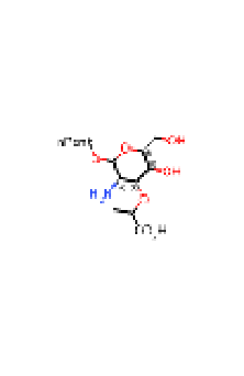 CCCCCOC1O[C@H](CO)[C@@H](O)[C@H](OC(C)C(=O)O)[C@H]1N